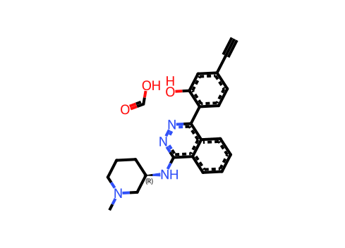 C#Cc1ccc(-c2nnc(N[C@@H]3CCCN(C)C3)c3ccccc23)c(O)c1.O=CO